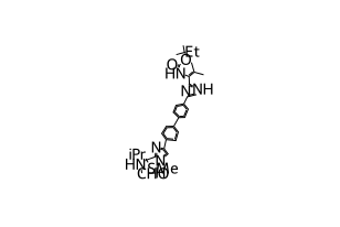 CCC(C)(C)OC(=O)NC(=C(C)C)c1nc(-c2ccc(-c3ccc(-c4c[nH]c(C(NC=O)(SC)C(C)C)n4)cc3)cc2)c[nH]1